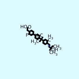 CCC(O)(/C=C/c1ccc(C(CC)(CC)c2ccc(-c3ccc(CC(=O)O)c(F)c3)cc2)cc1C)CC